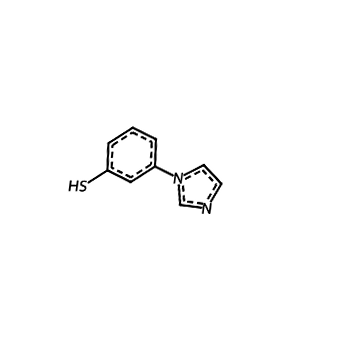 Sc1cccc(-n2ccnc2)c1